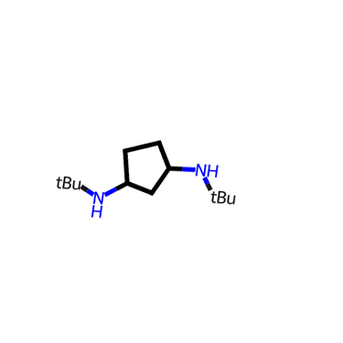 CC(C)(C)NC1CCC(NC(C)(C)C)C1